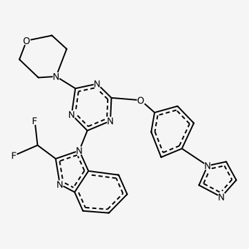 FC(F)c1nc2ccccc2n1-c1nc(Oc2ccc(-n3ccnc3)cc2)nc(N2CCOCC2)n1